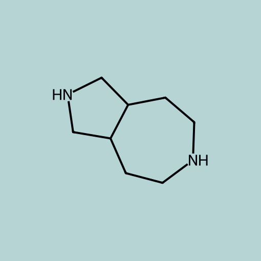 C1CC2CNCC2CCN1